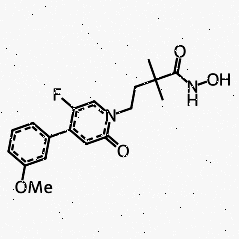 COc1cccc(-c2cc(=O)n(CCC(C)(C)C(=O)NO)cc2F)c1